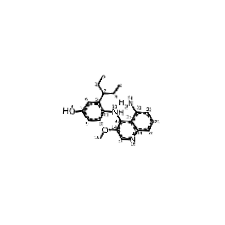 CCC(CC)c1cc(O)ccc1Nc1c(OC)cnc2cccc(N)c12